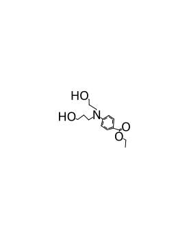 CCOC(=O)c1ccc(N(CCCO)CCCO)cc1